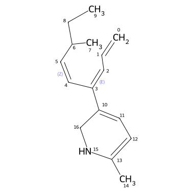 C=C/C=C(\C=C/C(C)CC)C1=CC=C(C)NC1